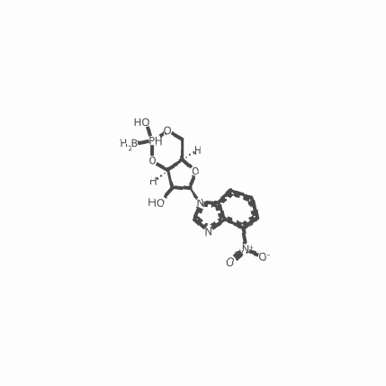 B[PH]1(O)OC[C@H]2O[C@@H](n3cnc4c([N+](=O)[O-])cccc43)C(O)[C@H]2O1